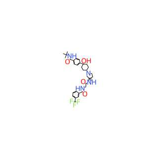 CC(C)(C)NC(=O)c1ccc(C2(O)CCC(N3CC[C@@H](NC(=O)CNC(=O)c4cccc(C(F)(F)F)c4)C3)CC2)cc1